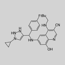 CC(C)(C)CNc1c(C#N)cnc2c(O)cc(NC(C3=CN(C4CC4)NN3)c3ccc(F)cc3)cc12